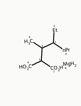 CCCC(CC)C(C)C(C(=O)O)C(=O)O.[MgH2]